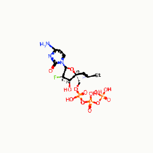 CC/C=C/[C@]1(COP(=O)(O)OP(=O)(O)OP(=O)(O)O)OC(n2ccc(N)nc2=O)[C@H](F)[C@@H]1O